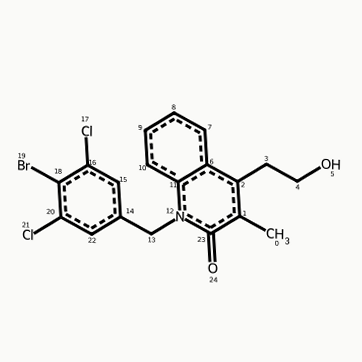 Cc1c(CCO)c2ccccc2n(Cc2cc(Cl)c(Br)c(Cl)c2)c1=O